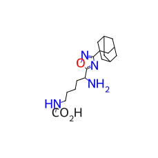 NC(CCCCNC(=O)O)c1nc(C23CC4CC(CC(C4)C2)C3)no1